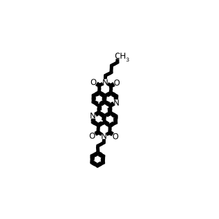 CCCCCN1C(=O)c2ccc3c4ncc5c6c(ccc(c7ncc(c2c37)C1=O)c64)C(=O)N(CCc1ccccc1)C5=O